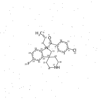 C=CC[N+]1(C(=O)c2ccc(Cl)cc2)CC2(CCNCC2)c2cc(F)ccc21